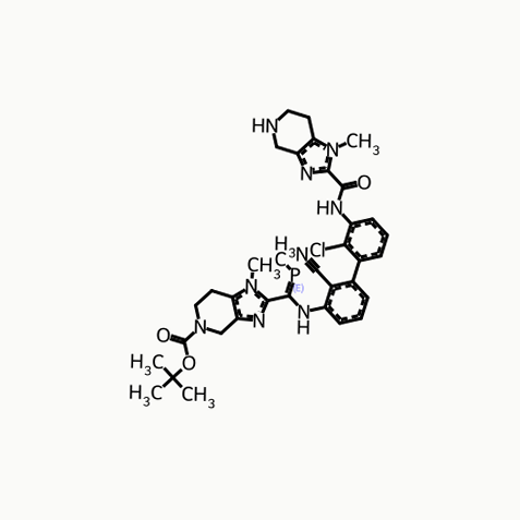 C/P=C(/Nc1cccc(-c2cccc(NC(=O)c3nc4c(n3C)CCNC4)c2Cl)c1C#N)c1nc2c(n1C)CCN(C(=O)OC(C)(C)C)C2